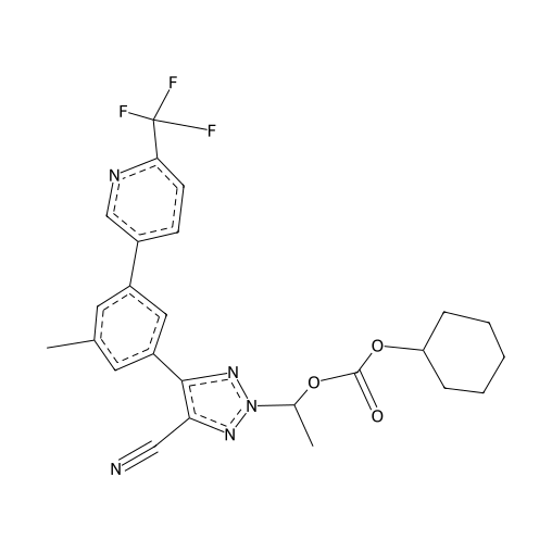 Cc1cc(-c2ccc(C(F)(F)F)nc2)cc(-c2nn(C(C)OC(=O)OC3CCCCC3)nc2C#N)c1